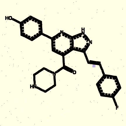 O=C(c1cc(-c2ccc(O)cc2)nc2[nH]nc(/C=C/c3ccc(F)cc3)c12)N1CCNCC1